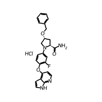 Cl.NC(=O)[C@@H]1C[C@@H](OCc2ccccc2)CN1c1ccc(Oc2ccnc3[nH]ccc23)c(F)c1